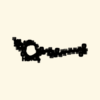 C=CC[C@H]1C(=O)C(C)(C)[C@@H](O)CC(=O)O[C@H](c2ccc3sc(C)nc3c2)C[C@H]2O[C@@]2(C)CCC[C@H](C)[C@@H]1OC(=O)OCc1ccc(OC(=O)CCCCCCCCCCN2C(=O)C=CC2=O)cc1